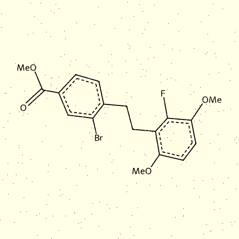 COC(=O)c1ccc(CCc2c(OC)ccc(OC)c2F)c(Br)c1